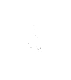 CC(CC(C)N1C(=O)C=CC1=O)C1CCC(C(=O)ON2C(=O)CCC2=O)CC1